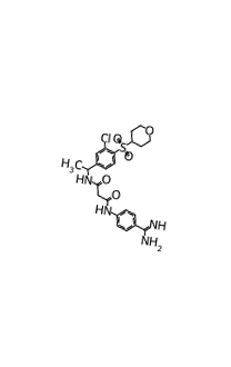 CC(NC(=O)CC(=O)Nc1ccc(C(=N)N)cc1)c1ccc(S(=O)(=O)C2CCOCC2)c(Cl)c1